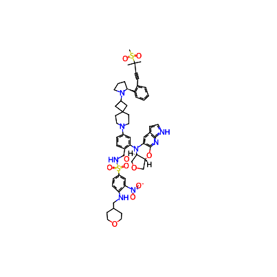 CC(C)(C#Cc1ccccc1[C@@H]1CCCN1C1CC2(CCN(c3ccc(C(=O)NS(=O)(=O)c4ccc(NCC5CCOCC5)c([N+](=O)[O-])c4)c(N4c5cc6cc[nH]c6nc5O[C@@H]5COC[C@H]54)c3)CC2)C1)S(C)(=O)=O